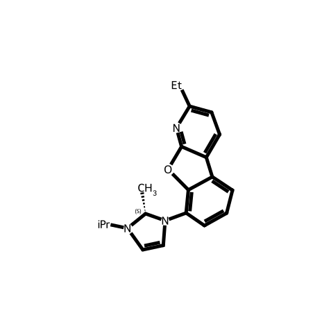 CCc1ccc2c(n1)oc1c(N3C=CN(C(C)C)[C@@H]3C)cccc12